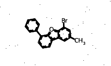 Cc1cc(Br)c2oc3c(-c4ccccc4)cccc3c2c1